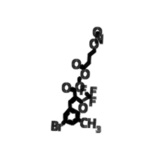 Cc1cc(Br)cc2c1O[C@H](C(F)(F)F)C(C(=O)OCOC(=O)CCCON=O)=C2